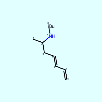 C=C/C=C/CC(C)NC(C)CC